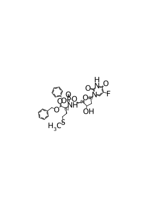 CSCC[C@H](NP(=O)(OC[C@H]1O[C@@H](n2cc(F)c(=O)[nH]c2=O)CC1O)Oc1ccccc1)C(=O)OCc1ccccc1